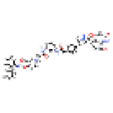 CC(Cc1ccc(CC(=O)Nc2cccc(N(C)C(=O)CCN3CCC(OC(=O)Nc4ccccc4-c4ccccc4)CC3)c2)cc1)NC[C@H](O)c1ccc(O)c2[nH]c(=O)ccc12